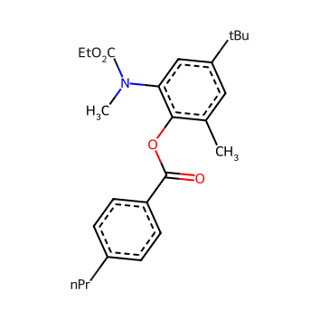 CCCc1ccc(C(=O)Oc2c(C)cc(C(C)(C)C)cc2N(C)C(=O)OCC)cc1